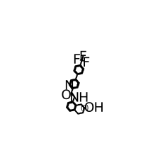 O=C(Nc1cccc2c1C[C@H](O)CC2)c1ccc(-c2ccc(C(F)(F)F)cc2)cn1